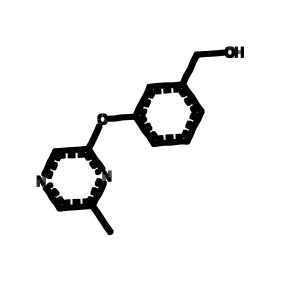 Cc1cncc(Oc2cccc(CO)c2)n1